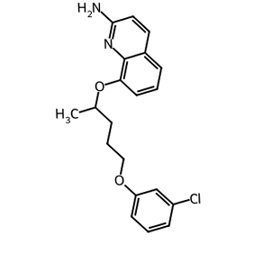 CC(CCCOc1cccc(Cl)c1)Oc1cccc2ccc(N)nc12